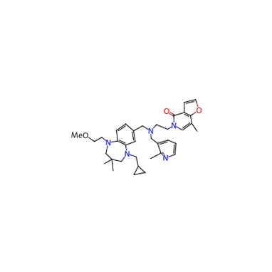 COCCN1CC(C)(C)CN(CC2CC2)c2cc(CN(CCn3cc(C)c4occc4c3=O)Cc3cccnc3C)ccc21